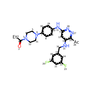 CCC(=O)N1CCN(c2ccc(Nc3cc(NCc4cc(F)cc(F)c4)c(C(C)=O)nn3)cc2)CC1